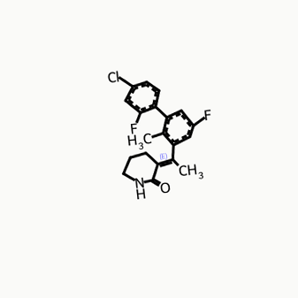 C/C(=C1/CCCNC1=O)c1cc(F)cc(-c2ccc(Cl)cc2F)c1C